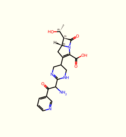 C[C@@H](O)[C@H]1C(=O)N2C(C(=O)O)=C(C3CN=C(C(N)C(=O)c4cccnc4)NC3)C[C@H]12